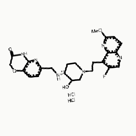 COc1ccc2ncc(F)c(CCN3CC[C@@H](NCc4ccc5c(n4)NC(=O)CO5)C(O)C3)c2n1.Cl.Cl